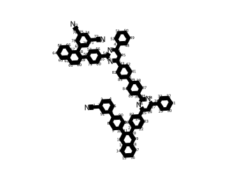 N#Cc1cccc(-c2ccc(-c3cc4ccccc4cc3-c3ccc(-c4cc(-c5ccccc5)nc(-c5ccc(-c6ccc(-c7cc(-c8ccccc8)nc(-c8ccc(-c9ccc%10ccccc%10c9-c9cc(C#N)cc(C#N)c9)cc8)n7)cc6)cc5)n4)cc3)cc2)c1